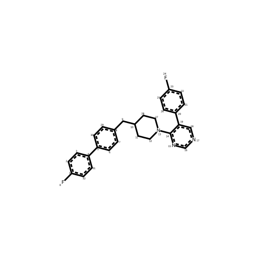 Fc1ccc(-c2ccc(CC3CCN(c4ncncc4-c4ccc(F)cc4)CC3)cc2)cc1